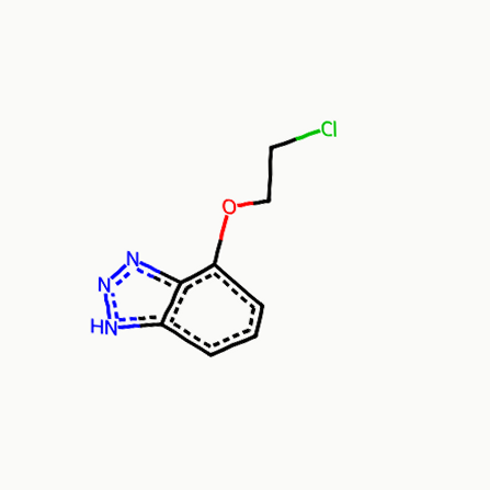 ClCCOc1cccc2[nH]nnc12